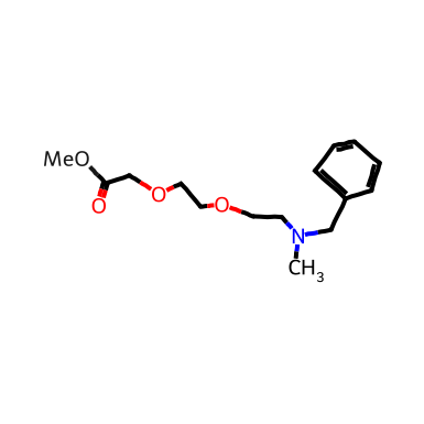 COC(=O)COCCOCCN(C)Cc1ccccc1